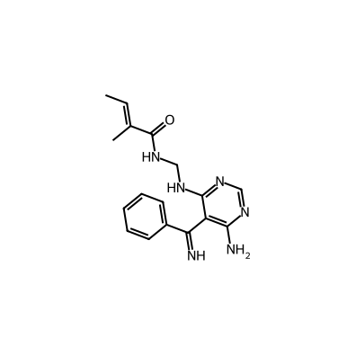 C/C=C(\C)C(=O)NCNc1ncnc(N)c1C(=N)c1ccccc1